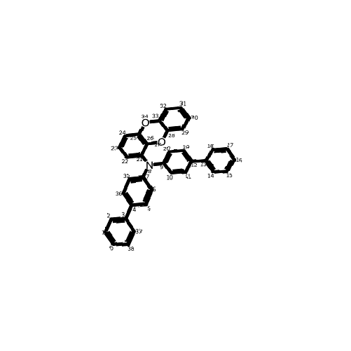 c1ccc(-c2ccc(N(c3ccc(-c4ccccc4)cc3)c3cccc4c3Oc3ccccc3O4)cc2)cc1